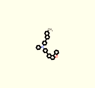 Cc1ccc2cc(-c3ccc(N(c4ccccc4)c4ccc(-c5ccc6ccc7oc8ccccc8c7c6c5)cc4)cc3)ccc2c1